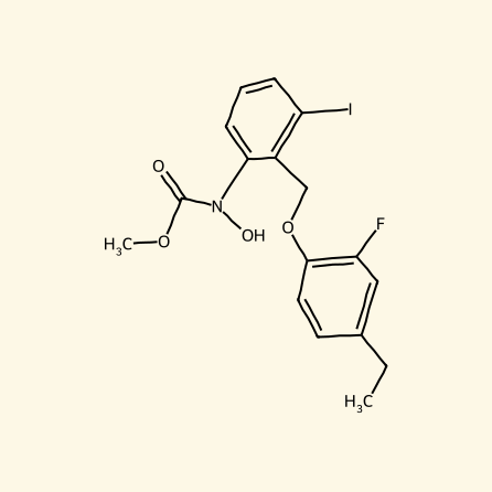 CCc1ccc(OCc2c(I)cccc2N(O)C(=O)OC)c(F)c1